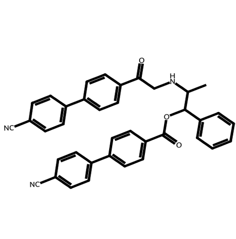 CC(NCC(=O)c1ccc(-c2ccc(C#N)cc2)cc1)C(OC(=O)c1ccc(-c2ccc(C#N)cc2)cc1)c1ccccc1